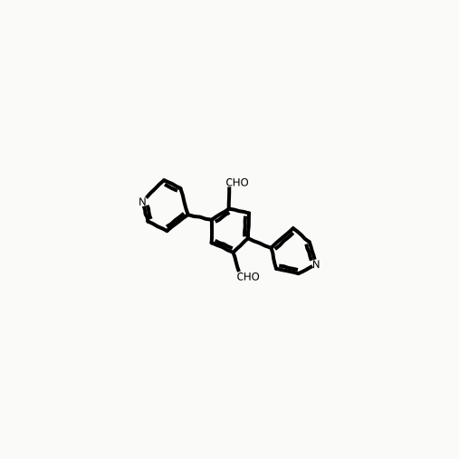 O=Cc1cc(-c2ccncc2)c(C=O)cc1-c1ccncc1